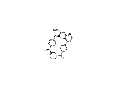 COc1ccc(C(=O)N2CCCC(C(=O)N3CCN(c4ccnc5cc(OC)ccc45)CC3)C2)cc1